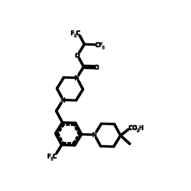 CC1(C(=O)O)CCN(c2cc(CN3CCN(C(=O)OC(C(F)(F)F)C(F)(F)F)CC3)cc(C(F)(F)F)c2)CC1